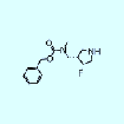 CN(C[C@@H]1CNC[C@@H]1F)C(=O)OCc1ccccc1